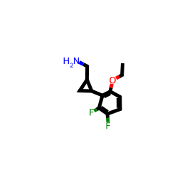 CCOc1ccc(F)c(F)c1C1CC1CN